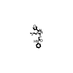 CSCCn1c(SCC(=O)Nc2ccccc2)nnc1-c1ccoc1